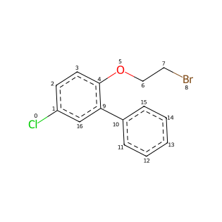 Clc1ccc(OCCBr)c(-c2ccccc2)c1